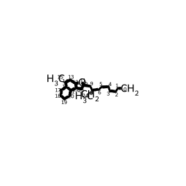 C=C\C=C/C=C\C=C(C)/C=c1/oc2cc(C)c3ccccc3c2c1=C